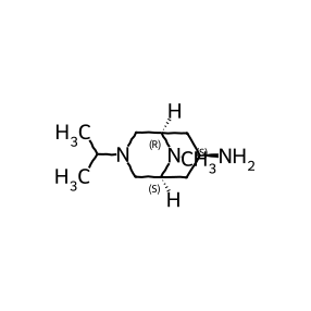 CC(C)N1C[C@H]2C[C@@H](N)C[C@@H](C1)N2C